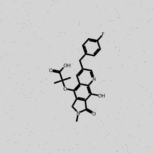 CN1Cc2c(c(O)c3ncc(Cc4ccc(F)cc4)cc3c2OC(C)(C)C(=O)O)C1=O